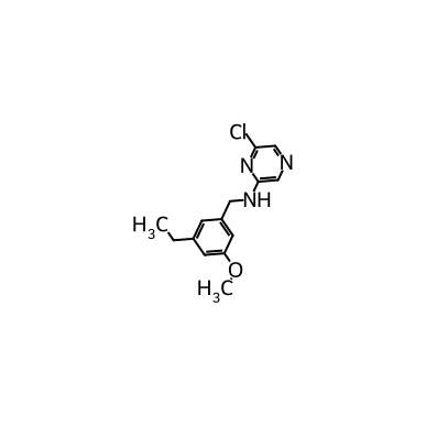 CCc1cc(CNc2cncc(Cl)n2)cc(OC)c1